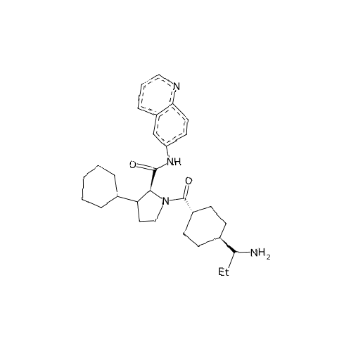 CCC(N)[C@H]1CC[C@H](C(=O)N2CCC(C3CCCCC3)[C@H]2C(=O)Nc2ccc3ncccc3c2)CC1